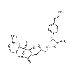 COC(=O)[C@H](CC(=O)C[C@@H]1C[C@H](c2ccc(C=NN)cc2)N(C)O1)N(N)S(=O)(=O)c1cccc(C)c1